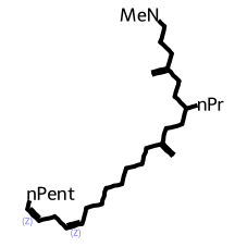 C=C(CCCCCCC/C=C\C/C=C\CCCCC)CCC(CCC)CCC(=C)CCCNC